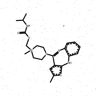 Cc1cc2c(s1)Nc1ccccc1N=C2N1CC[N+](C)(COC(=O)NC(C)C)CC1.[I-]